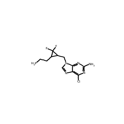 Nc1nc(Cl)c2ncn(CC3C(CCP)C3(F)F)c2n1